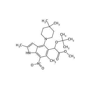 COC(=O)C(OC(C)(C)C)c1c(C)c([N+](=O)[O-])c2[nH]c(C)cc2c1N1CCC(C)(C)CC1